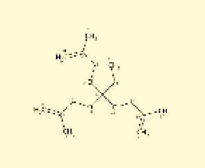 C=C(C)COC(CC)(OCC(=C)C)OCC(=C)C